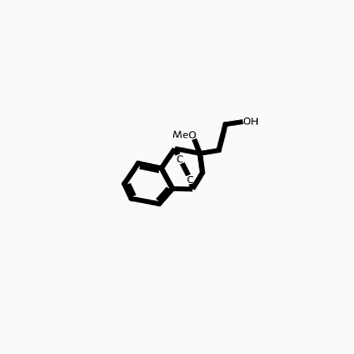 COC1(CCO)CC2CCC1c1ccccc12